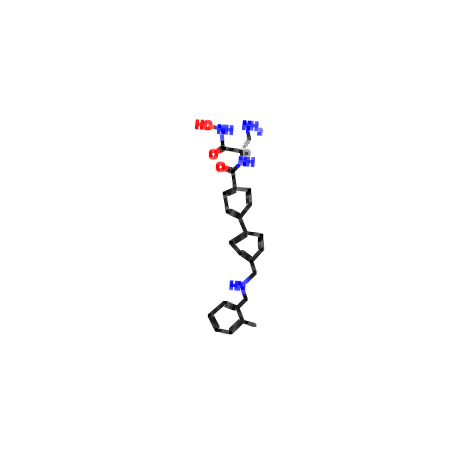 Cc1ccccc1CNCc1ccc(-c2ccc(C(=O)N[C@@H](CN)C(=O)NO)cc2)cc1